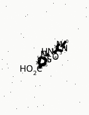 Cc1ncc(C(=O)Nc2nc3ccc(C(=O)O)cc3s2)cn1